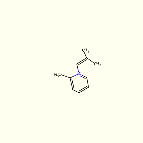 CC(C)=C[n+]1ccccc1C